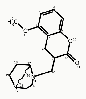 COc1cccc2c1CC(CN1CCN3CCC1CC3)C(=O)O2